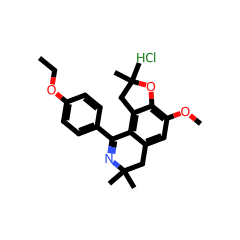 CCOc1ccc(C2=NC(C)(C)Cc3cc(OC)c4c(c32)CC(C)(C)O4)cc1.Cl